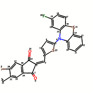 O=C1/C(=C/c2ccc(N3c4ccccc4Sc4ccc(F)cc43)s2)C(=O)c2cc3sccc3cc21